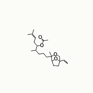 C=CC12CCC(O1)C(C)(CCCC(C)C(CC=C(C)C)OC(C)=O)OC2